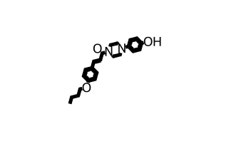 CCCCOc1ccc(/C=C/C(=O)N2CCN(c3ccc(O)cc3)CC2)cc1